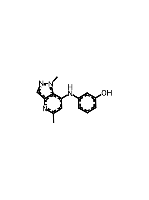 Cc1cc(Nc2cccc(O)c2)c2c(cnn2C)n1